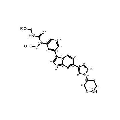 O=CON(C(=O)NCC(F)(F)F)c1cncc(-c2cnc3cc(-c4cnn(C5CCNCC5)c4)ccn23)c1